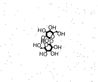 OC[C@H]1O[C@H](O[C@@]2(O)O[C@H](CO)[C@@H](O)[C@H](O)[C@H]2O)[C@H](O)[C@@H](O)[C@H]1O